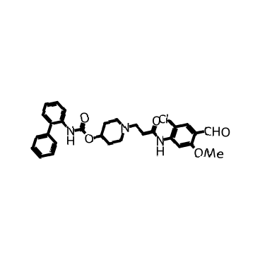 COc1cc(NC(=O)CCN2CCC(OC(=O)Nc3ccccc3-c3ccccc3)CC2)c(Cl)cc1C=O